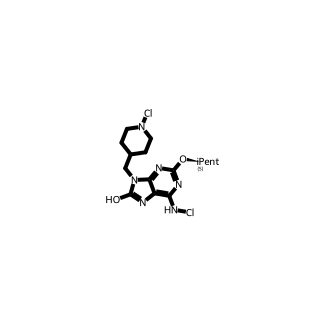 CCC[C@H](C)Oc1nc(NCl)c2nc(O)n(CC3CCN(Cl)CC3)c2n1